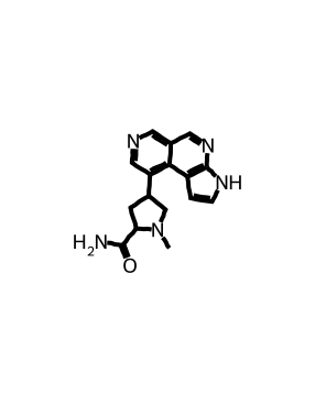 CN1CC(c2cncc3cnc4[nH]ccc4c23)CC1C(N)=O